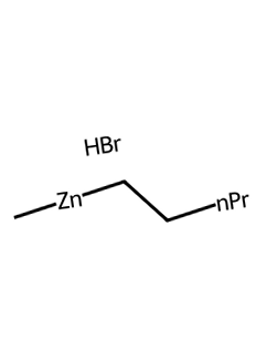 Br.CCCC[CH2][Zn][CH3]